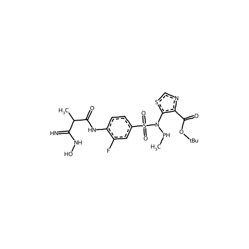 CPN(c1scnc1C(=O)OC(C)(C)C)S(=O)(=O)c1ccc(NC(=O)C(C)C(=N)NO)c(F)c1